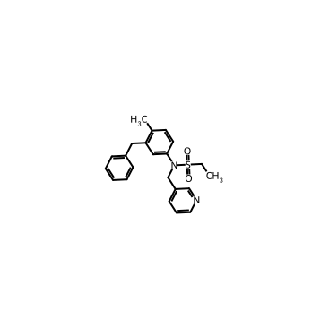 CCS(=O)(=O)N(Cc1cccnc1)c1ccc(C)c(Cc2ccccc2)c1